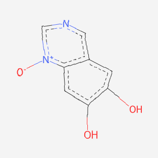 [O-][n+]1cncc2cc(O)c(O)cc21